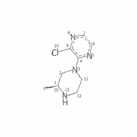 C[C@H]1CN(c2nccnc2Cl)CCN1